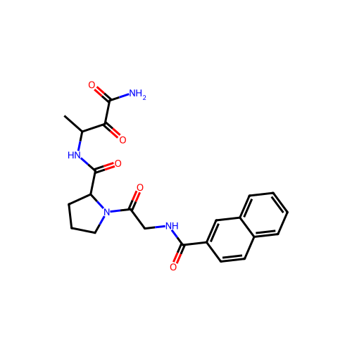 CC(NC(=O)C1CCCN1C(=O)CNC(=O)c1ccc2ccccc2c1)C(=O)C(N)=O